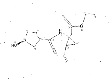 C=CC1C[C@]1(NC(=O)[C@H]1CC[C@H](O)C1)C(=O)OCC